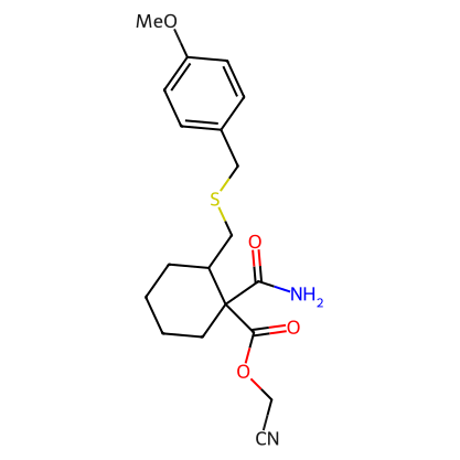 COc1ccc(CSCC2CCCCC2(C(N)=O)C(=O)OCC#N)cc1